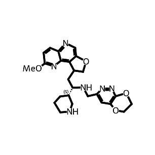 COc1ccc2ncc3c(c2n1)C(CC(NCc1cc2c(nn1)OCCO2)[C@H]1CCCNC1)CO3